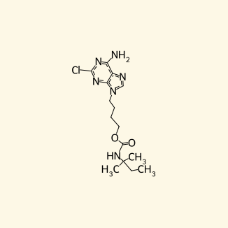 CCC(C)(C)NC(=O)OCCCCn1cnc2c(N)nc(Cl)nc21